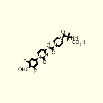 CC(C)(NC(=O)O)C(=O)N1CCN(C(=O)Nc2ccn(-c3cc(F)c(C=O)c(F)c3)c(=O)n2)CC1